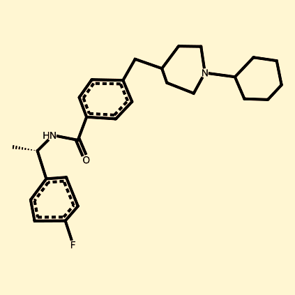 C[C@H](NC(=O)c1ccc(CC2CCN(C3CCCCC3)CC2)cc1)c1ccc(F)cc1